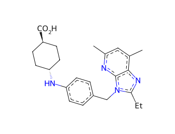 CCc1nc2c(C)cc(C)nc2n1Cc1ccc(N[C@H]2CC[C@H](C(=O)O)CC2)cc1